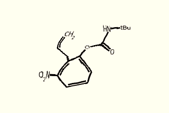 C=Cc1c(OC(=O)NC(C)(C)C)cccc1[N+](=O)[O-]